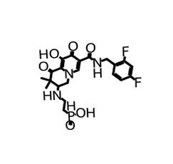 CC1(C)C(=O)c2c(O)c(=O)c(C(=O)NCc3ccc(F)cc3F)cn2CC1NCC[PH](=O)O